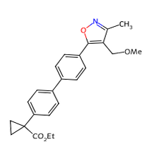 CCOC(=O)C1(c2ccc(-c3ccc(-c4onc(C)c4COC)cc3)cc2)CC1